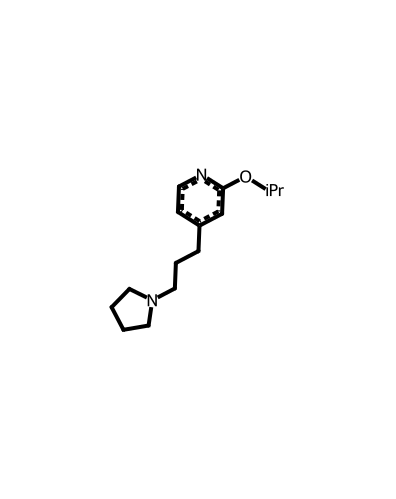 CC(C)Oc1cc(CCCN2CCCC2)ccn1